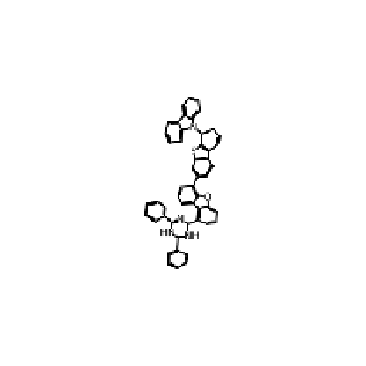 C1=Cc2c(sc3cc(-c4cccc5c4oc4cccc(C6N=C(c7ccccc7)NC(c7ccccc7)N6)c45)ccc23)C(n2c3ccccc3c3ccccc32)C1